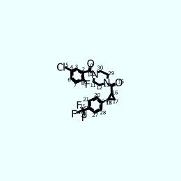 O=C(c1cc(Cl)ccc1F)N1CCN(C(=O)C2C[C@H]2c2ccc(C(F)(F)F)cc2)CC1